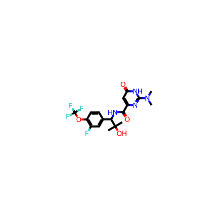 CN(C)c1nc(C(=O)NC(c2ccc(OC(F)(F)F)c(F)c2)C(C)(C)O)cc(=O)[nH]1